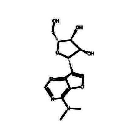 CN(C)c1ncnc2c([C@@H]3O[C@H](CO)[C@@H](O)[C@H]3O)coc12